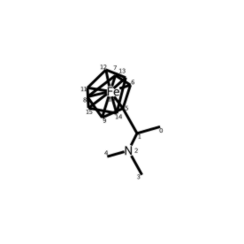 CC(N(C)C)[C]12[CH]3[CH]4[CH]5[CH]1[Fe]45321678[CH]2[CH]1[CH]6[CH]7[CH]28